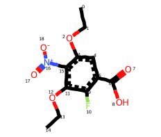 CCOc1cc(C(=O)O)c(F)c(OCC)c1[N+](=O)[O-]